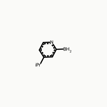 Bc1cc(C(C)C)ccn1